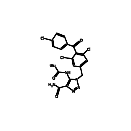 CC(C)(C)C(=O)Nc1c(C(N)=O)nnn1Cc1cc(Cl)c(C(=O)c2ccc(Cl)cc2)c(Cl)c1